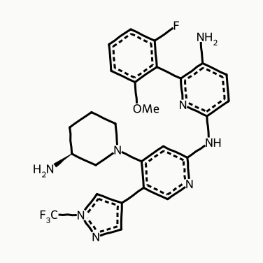 COc1cccc(F)c1-c1nc(Nc2cc(N3CCC[C@H](N)C3)c(-c3cnn(C(F)(F)F)c3)cn2)ccc1N